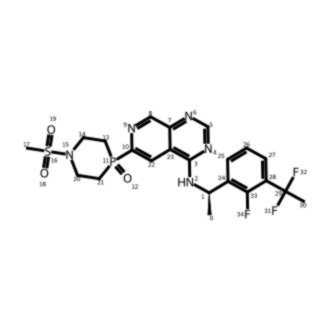 C[C@@H](Nc1ncnc2cnc(P3(=O)CCN(S(C)(=O)=O)CC3)cc12)c1cccc(C(C)(F)F)c1F